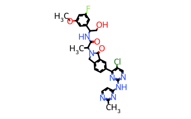 COc1cc(F)cc(C(CO)NC(=O)C(C)N2Cc3ccc(-c4nc(Nc5ccnc(C)n5)ncc4Cl)cc3C2=O)c1